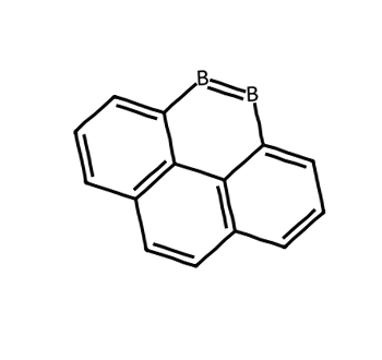 b1bc2cccc3ccc4cccc1c4c23